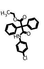 CCOC(=O)C(C(=O)Nc1ccc(Cl)cc1)(c1ccccc1)c1ccccc1